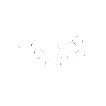 COC(=O)c1ccc(C(=O)N[C@H](C(=O)N(CC(=O)OCc2ccccc2)C2Cc3ccccc3C2)C(C)C)cc1